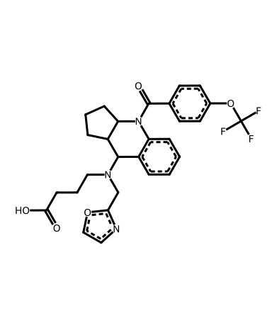 O=C(O)CCCN(Cc1ncco1)C1c2ccccc2N(C(=O)c2ccc(OC(F)(F)F)cc2)C2CCCC12